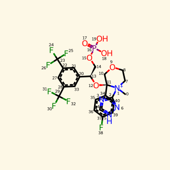 C[N+]1(c2nc[nH]n2)CCOC[C@@]1(O[C@H](COP(=O)(O)O)c1cc(C(F)(F)F)cc(C(F)(F)F)c1)c1ccc(F)cc1